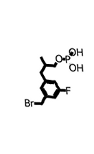 CC(COP(O)O)Cc1cc(F)cc(CBr)c1